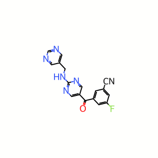 N#Cc1cc(F)cc(C(=O)c2cnc(NCc3cncnc3)nc2)c1